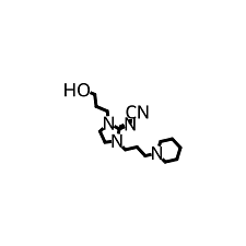 N#CN=C1N(CCCO)CCN1CCCN1CCCCC1